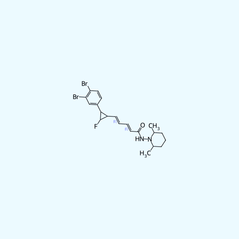 CC1CCCC(C)N1NC(=O)/C=C/C=C/C1C(F)C1c1ccc(Br)c(Br)c1